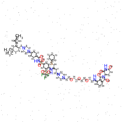 CC1(C)CCC(CN2CCN(c3ccc(C(=O)NS(=O)(=O)c4ccc(N[C@H](CCN5CCN(CCOCCOCCOCCNc6cccc7c6C(=O)N(C6CCC(=O)NC6=O)C7=O)CC5)CSc5ccccc5)c(S(=O)(=O)C(F)(F)F)c4)cc3)CC2)=C(C23CC(C)(C2)C3)C1